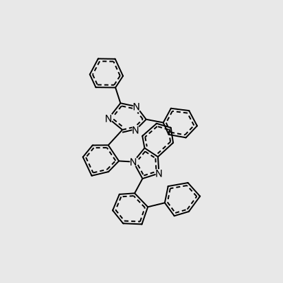 c1ccc(-c2nc(-c3ccccc3)nc(-c3ccccc3-n3c(-c4ccccc4-c4ccccc4)nc4ccccc43)n2)cc1